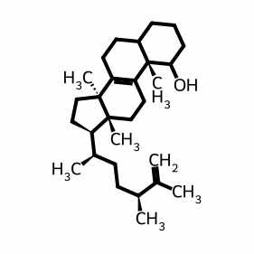 C=C(C)[C@@H](C)CC[C@@H](C)[C@H]1CC[C@@]2(C)C3=C(CC[C@]12C)[C@@]1(C)C(O)CCCC1CC3